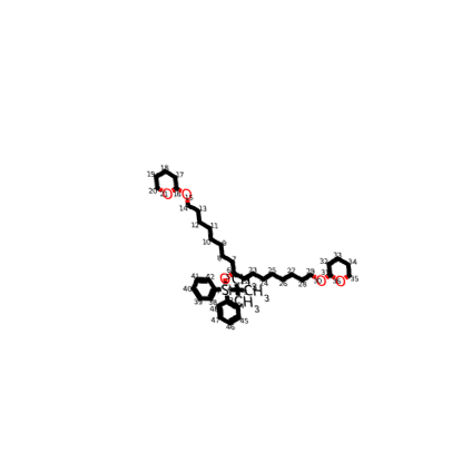 CC(C)(C)[Si](OC(CCCCCCCCOC1CCCCO1)CCCCCCCCOC1CCCCO1)(c1ccccc1)c1ccccc1